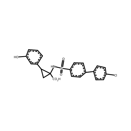 O=C(O)C1(NS(=O)(=O)c2ccc(-c3ccc(Cl)cc3)cc2)CC1c1cccc(O)c1